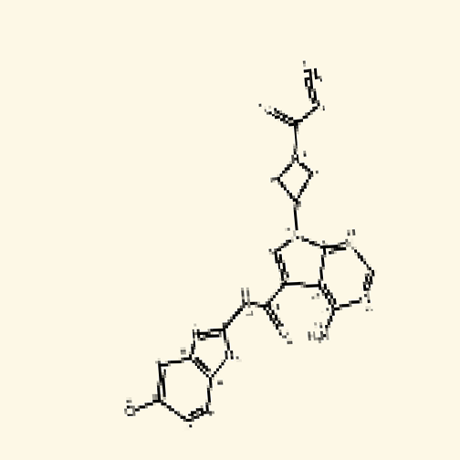 C=CC(=O)N1CC(n2cc(C(=O)Nc3nc4cc(Cl)ccc4o3)c3c(N)ncnc32)C1